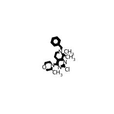 C[C@@H]1COCCN1c1nc(Cl)nc2c1CCN(Cc1ccccc1)C2(C)C